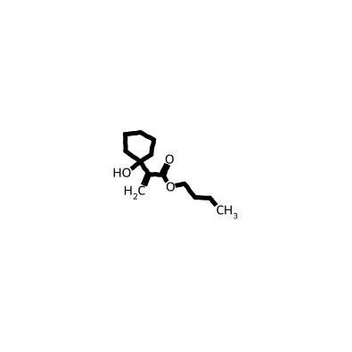 C=C(C(=O)OCCCC)C1(O)CCCCC1